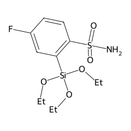 CCO[Si](OCC)(OCC)c1cc(F)ccc1S(N)(=O)=O